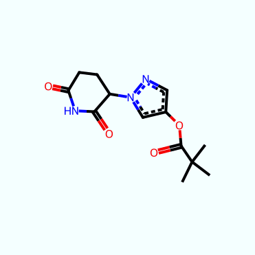 CC(C)(C)C(=O)Oc1cnn(C2CCC(=O)NC2=O)c1